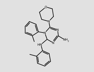 Cc1ccccc1NC1N=C(N)N=C(N2CCOCC2)N1c1ccccc1C